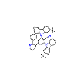 CC(C)(C)c1ccc2c3ccccc3n(-c3cc(-c4cccnc4-c4ccccc4)cc(-n4c5ccccc5c5ccc(C(C)(C)C)cc54)c3C#N)c2c1